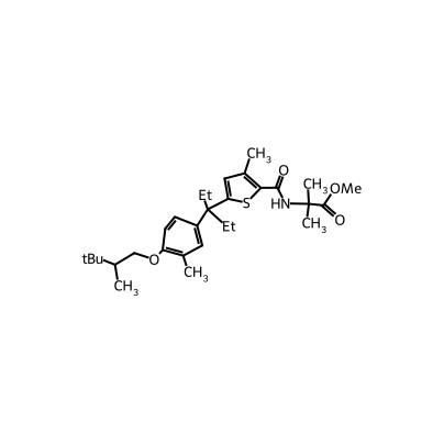 CCC(CC)(c1ccc(OCC(C)C(C)(C)C)c(C)c1)c1cc(C)c(C(=O)NC(C)(C)C(=O)OC)s1